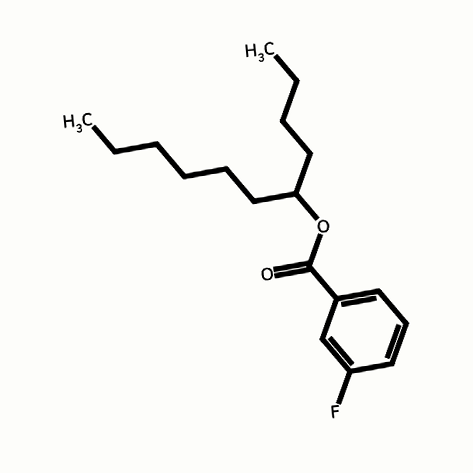 CCCCCCC(CCCC)OC(=O)c1cccc(F)c1